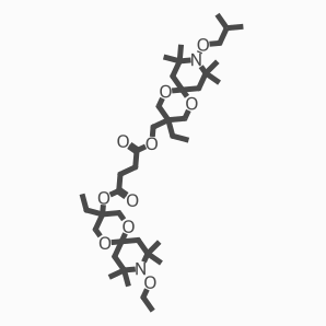 CCON1C(C)(C)CC2(CC1(C)C)OCC(CC)(OC(=O)CCC(=O)OCC1(CC)COC3(CC(C)(C)N(OCC(C)C)C(C)(C)C3)OC1)CO2